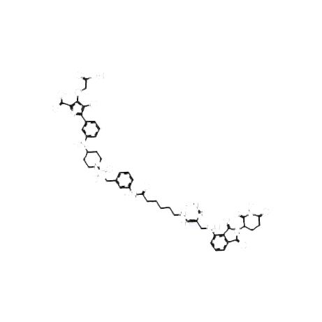 N=N/C(=C\NCCCCCC(=O)Nc1cccc(CS(=O)(=O)N2CCC(Nc3cccc(-c4sc(C(=O)O)c(OCC(=O)O)c4Cl)c3)CC2)c1)CNc1cccc2c1C(=O)N(C1CCC(=O)NC1=O)C2=O